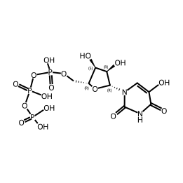 O=c1[nH]c(=O)n([C@@H]2O[C@H](COP(=O)(O)OP(=O)(O)OP(=O)(O)O)[C@@H](O)[C@H]2O)cc1O